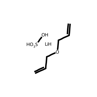 C=CCOCC=C.O=S(=O)(O)O.[LiH]